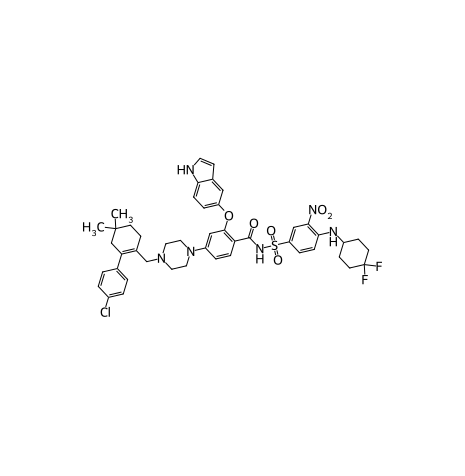 CC1(C)CCC(CN2CCN(c3ccc(C(=O)NS(=O)(=O)c4ccc(NC5CCC(F)(F)CC5)c([N+](=O)[O-])c4)c(Oc4ccc5[nH]ccc5c4)c3)CC2)=C(c2ccc(Cl)cc2)C1